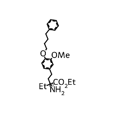 CCOC(=O)[C@@](N)(CC)CCc1ccc(OCCCCc2ccccc2)c(OC)c1